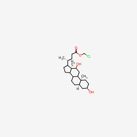 C[C@H](CCC(=O)OCCl)C1CCC2C3CC[C@@H]4C[C@H](O)CC[C@]4(C)C3C[C@H](O)[C@@]21C